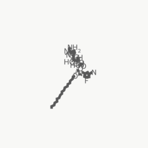 CCCCCCCCCCCCCCCCCCOC[C@H](COP(=O)(O)OC1[C@H]2O[C@@](C)(c3ccc4c(N)ncnn34)[C@H](O)[C@@]12O)N(C)Cc1cc(F)cc(C#N)c1